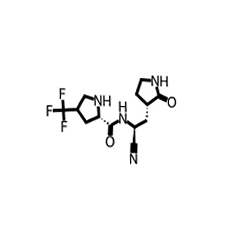 N#C[C@H](C[C@@H]1CCNC1=O)NC(=O)[C@@H]1CC(C(F)(F)F)CN1